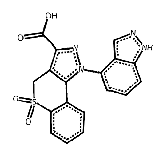 O=C(O)c1nn(-c2cccc3[nH]ncc23)c2c1CS(=O)(=O)c1ccccc1-2